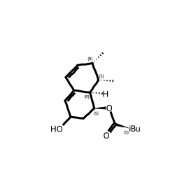 CC[C@H](C)C(=O)O[C@H]1CC(O)C=C2C=C[C@H](C)[C@H](C)[C@H]21